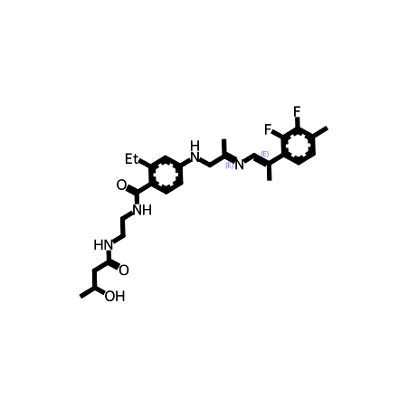 CCc1cc(NC/C(C)=N/C=C(\C)c2ccc(C)c(F)c2F)ccc1C(=O)NCCNC(=O)CC(C)O